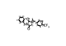 O=C1C[C@]2(C[C@H]2c2ccc(C(F)(F)F)nc2)C(=O)N1Cc1ccccc1